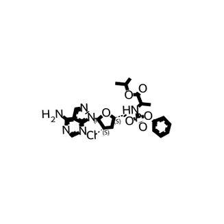 CC(C)OC(=O)C(C)NP(=O)(OC[C@@H]1C[C@H](Cl)[C@H](n2ncc3c(N)ncnc32)O1)Oc1ccccc1